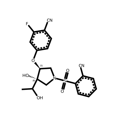 CC(O)[C@]1(O)CN(S(=O)(=O)c2ccccc2C#N)C[C@@H]1Oc1ccc(C#N)c(F)c1